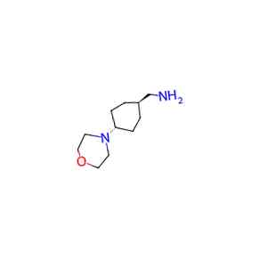 NC[C@H]1CC[C@H](N2CCOCC2)CC1